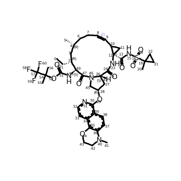 CC[C@@H]1C[C@H](C)CC/C=C\C2C[C@@]2(C(=O)NS(=O)(=O)C2(C)CC2)NC(=O)[C@@H]2C[C@@H](Oc3nccc4c5c(ccc34)N(C)CCO5)CN2C(=O)[C@H]1NC(=O)OC(C)(C)C(F)(F)F